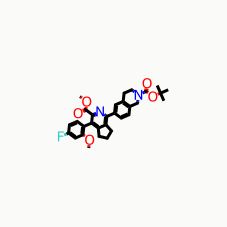 COC(=O)c1nc(-c2ccc3c(c2)CCN(C(=O)OC(C)(C)C)C3)c2c(c1-c1ccc(F)cc1OC)CCC2